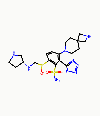 NS(=O)(=O)c1c([S+]([O-])CN[C@@H]2CCNC2)ccc(N2CCC3(CC2)CNC3)c1-c1nnn[nH]1